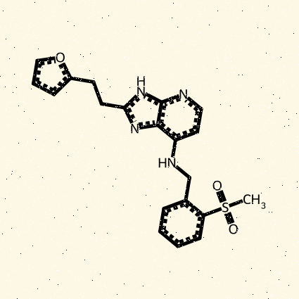 CS(=O)(=O)c1ccccc1CNc1ccnc2[nH]c(CCc3ccco3)nc12